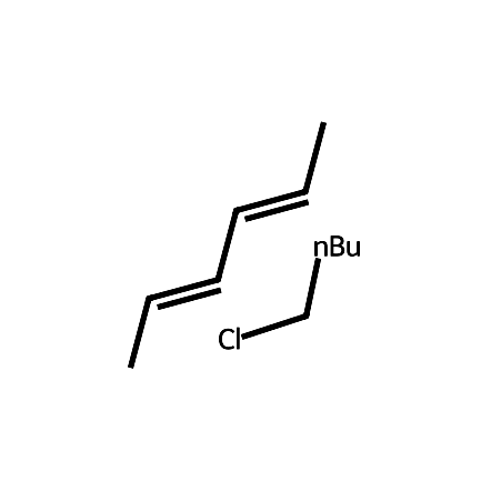 CC=CC=CC.CCCCCCl